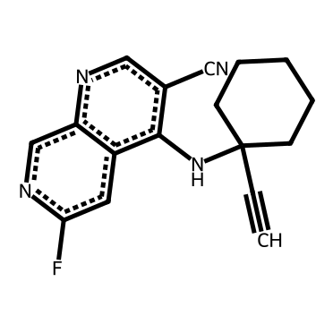 C#CC1(Nc2c(C#N)cnc3cnc(F)cc23)CCCCC1